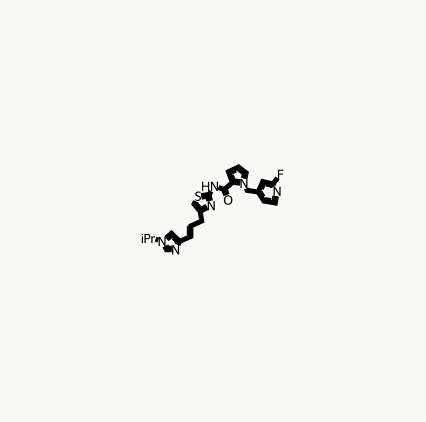 CC(C)n1cnc(C=CCc2csc(NC(=O)c3cccn3Cc3ccnc(F)c3)n2)c1